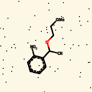 COCCOC(C#N)c1ccccc1[N+](=O)[O-]